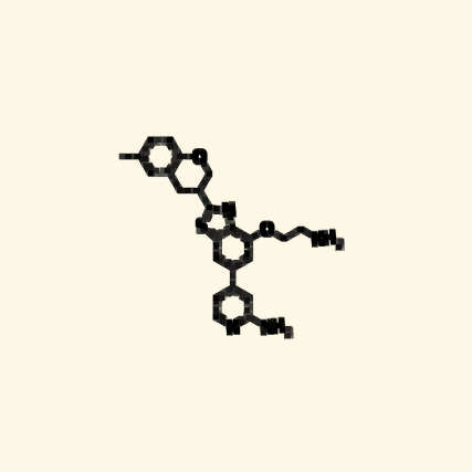 Cc1ccc2c(c1)CC(c1nc3c(OCCN)cc(-c4ccnc(N)c4)cc3s1)CO2